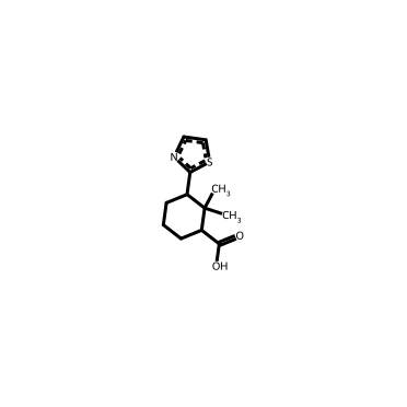 CC1(C)C(C(=O)O)CCCC1c1nccs1